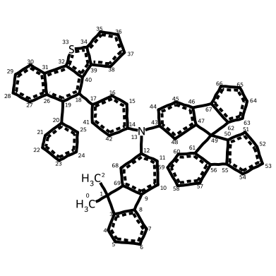 CC1(C)c2ccccc2-c2ccc(N(c3ccc(-c4c(-c5ccccc5)c5ccccc5c5sc6ccccc6c45)cc3)c3ccc4c(c3)C3(c5ccccc5-c5ccccc53)c3ccccc3-4)cc21